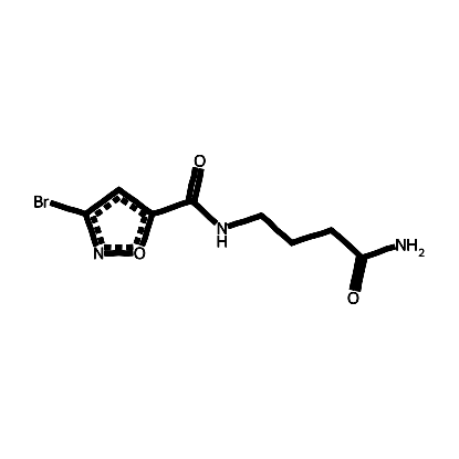 NC(=O)CCCNC(=O)c1cc(Br)no1